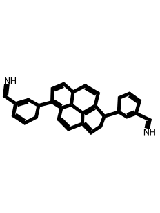 N=CC1=CC(C2=C3C=CC4=CCC(C5C=C(C=N)C=CC5)C5=C4C3C(C=C2)C=C5)CC=C1